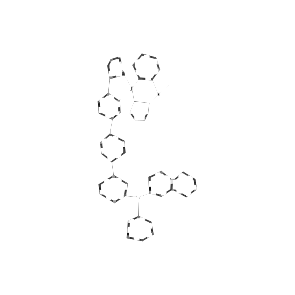 CC1(C)c2ccccc2C2(c3ccccc3-c3ccc(-c4ccc(-c5cccc(N(c6ccccc6)c6ccc7ccccc7c6)c5)cc4)cc32)C2C=CC=CC21